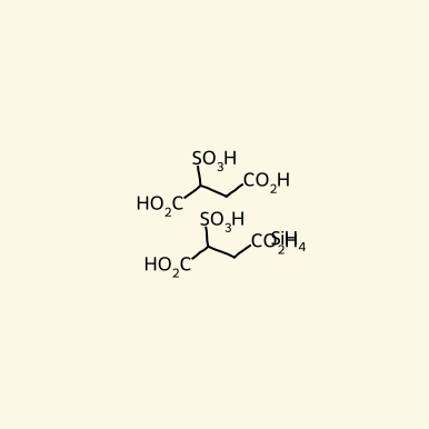 O=C(O)CC(C(=O)O)S(=O)(=O)O.O=C(O)CC(C(=O)O)S(=O)(=O)O.[SiH4]